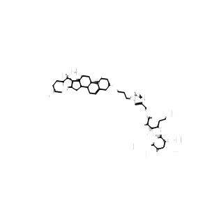 CC1O[C@@H](S[C@@H]2C(CO)O[C@@H](OCc3cn(CCCO[C@H]4CC[C@@]5(C)C(=CCC6C7CC8C([C@H](C)C9CC[C@H](C)CN89)[C@@]7(C)CCC65)C4)nn3)C(O)[C@H]2O)[C@@H](O)C(O)[C@H]1O